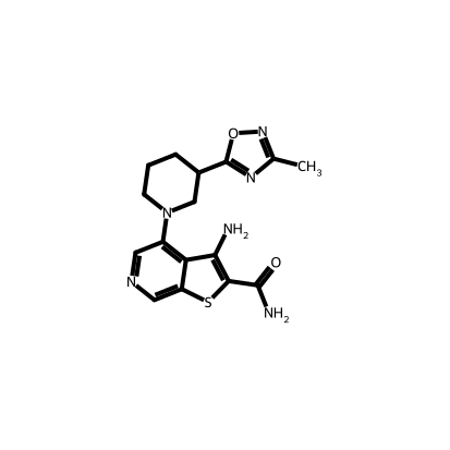 Cc1noc(C2CCCN(c3cncc4sc(C(N)=O)c(N)c34)C2)n1